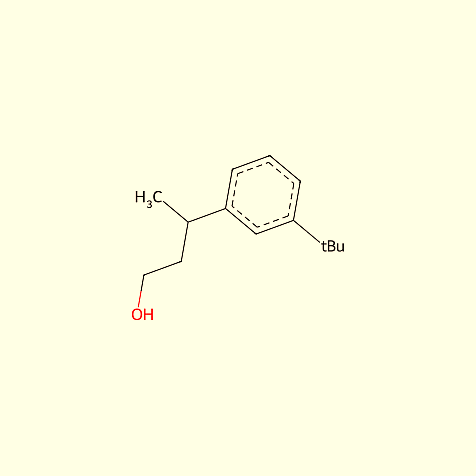 CC(CCO)c1cccc(C(C)(C)C)c1